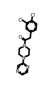 O=C(Cc1ccc(Cl)c(Cl)c1)N1CCN(c2cnccn2)CC1